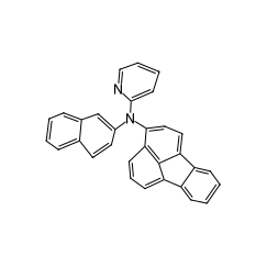 c1ccc(N(c2ccc3ccccc3c2)c2ccc3c4c(cccc24)-c2ccccc2-3)nc1